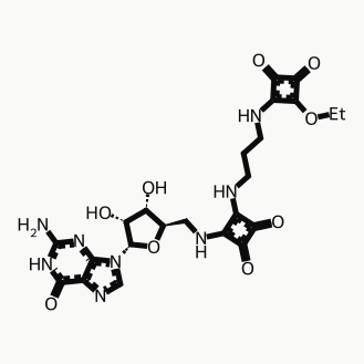 CCOc1c(NCCCNc2c(NC[C@H]3O[C@H](n4cnc5c(=O)[nH]c(N)nc54)[C@H](O)[C@@H]3O)c(=O)c2=O)c(=O)c1=O